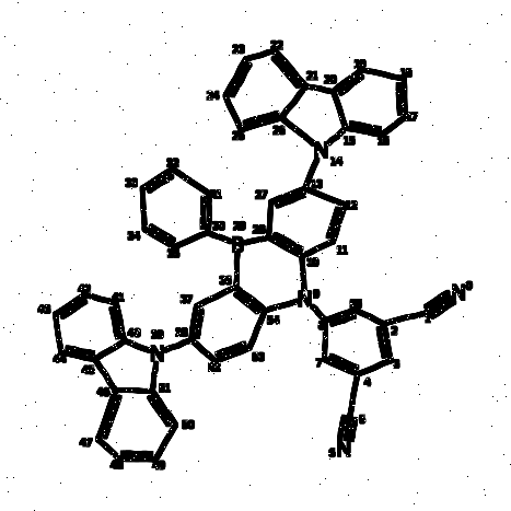 N#Cc1cc(C#N)cc(N2c3ccc(-n4c5ccccc5c5ccccc54)cc3B(c3ccccc3)c3cc(-n4c5ccccc5c5ccccc54)ccc32)c1